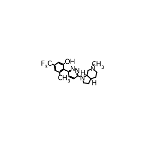 Cc1cc(C(F)(F)F)cc(O)c1-c1ccc(N2CC[C@@H]3CCN(C)C[C@@H]32)nn1